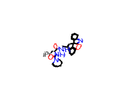 CC(C)C[C@H](NC(=O)N1CCCCCC1)C(=O)NCCCC1(c2ccccc2)C(=O)N(C)c2ccccc21